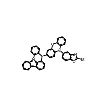 CCc1nc2cc(B3c4ccccc4Oc4cc(N5c6ccccc6-n6c7ccccc7c7cccc5c76)ccc43)ccc2o1